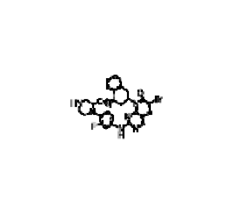 CC1CNCCN1c1ccc(Nc2ncc3cc(Br)c(=O)n(C4CC(=O)c5ccccc5C4)c3n2)cc1F